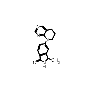 CC1NC(=O)c2ccc(N3CCCc4cncnc43)cc21